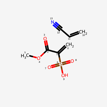 C=C(C(=O)OC)S(=O)(=O)O.C=CC#N